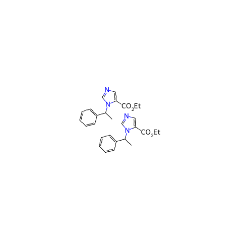 CCOC(=O)c1cncn1C(C)c1ccccc1.CCOC(=O)c1cncn1C(C)c1ccccc1